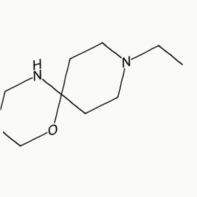 CCN1CCC2(CC1)NCCCO2